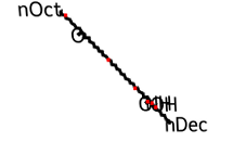 CCCCCCCCC=CCCCCCCCC(=O)CCCCCCCCCCCCCCCCCCCCCCCCCCCCCC(=O)NC[C@H](O)CCCCCCCCCCCCCCCC